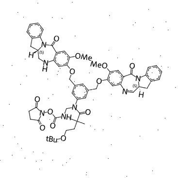 COc1cc2c(cc1OCc1cc(COc3cc4c(cc3OC)C(=O)N3c5ccccc5C[C@H]3CN4)cc(N(CNC(=O)ON3C(=O)CCC3=O)C(=O)C(C)(C)CCOC(C)(C)C)c1)N=C[C@@H]1Cc3ccccc3N1C2=O